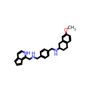 COc1ccc2c(c1)CC(NCc1ccc(CNCc3[nH]ccc4cccc3-4)cc1)CC2